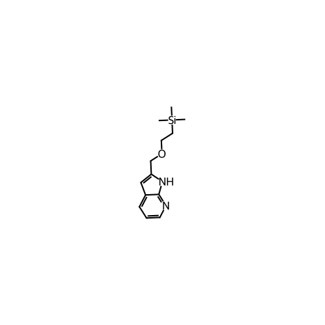 C[Si](C)(C)CCOCc1cc2cccnc2[nH]1